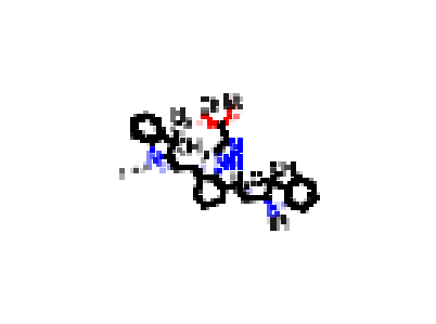 CCCN1/C(=C/C=C2\CCCC(/C=C/C3=[N+](CCC)c4ccccc4C3(C)C)=C2n2cc(C(OCC)OCC)nn2)C(C)(C)c2ccccc21